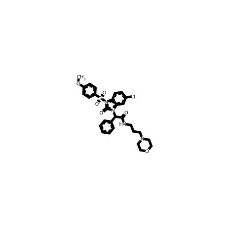 COc1ccc(S(=O)(=O)n2c(=O)n(C(C(=O)NCCCN3CCOCC3)c3ccccc3)c3cc(Cl)ccc32)cc1